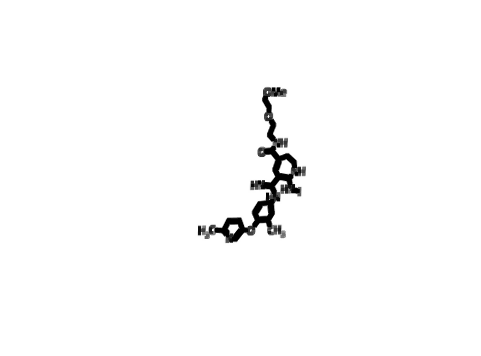 COCCOCCNC(=O)C1=CC(C(=N)Nc2ccc(Oc3ccc(C)nc3)c(C)c2)=C(NI)NCC1